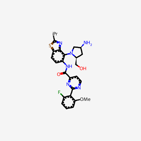 COc1cccc(F)c1-c1nccc(C(=O)Nc2ccc3sc(C(C)C)nc3c2N2C[C@@H](N)C[C@H]2CO)n1